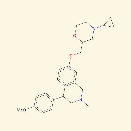 COc1ccc(C2CN(C)Cc3cc(OCC4CN(C5CC5)CCO4)ccc32)cc1